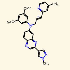 COc1cc(OC)cc(N(C/C=C/c2cc(C)ccn2)c2ccc3ncc(-c4cnn(C)c4)nc3c2)c1